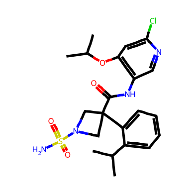 CC(C)Oc1cc(Cl)ncc1NC(=O)C1(c2ccccc2C(C)C)CN(S(N)(=O)=O)C1